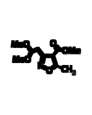 COC(=O)[C@@H]1C(CC(OC)OC)=NO[C@H]1C